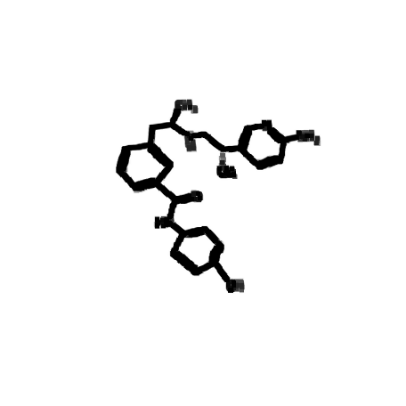 C[C@H](Cc1cccc(C(=O)Nc2ccc(O)cc2)c1)NC[C@@H](O)c1ccc(N)nc1